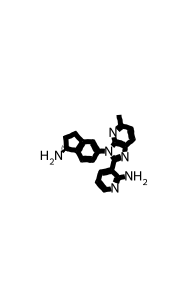 Cc1ccc2nc(-c3cccnc3N)n(-c3ccc4c(c3)CC[C@@H]4N)c2n1